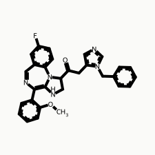 COc1ccccc1C1=C2NCC(C(=O)Cc3cncn3Cc3ccccc3)N2c2ccc(F)cc2C=N1